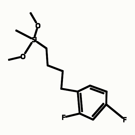 CO[Si](C)(CCCCc1ccc(F)cc1F)OC